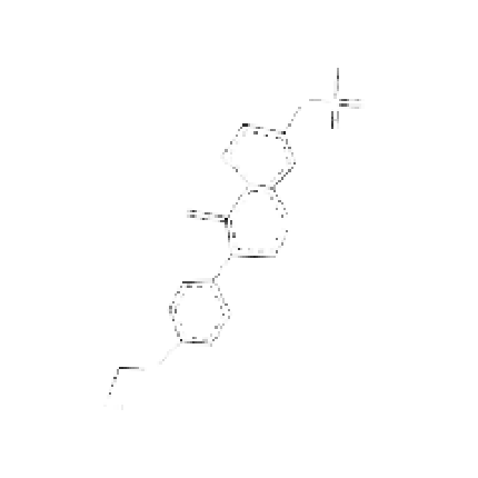 CC(C)(C)COc1ccc(-c2coc3cc(OS(C)(=O)=O)ccc3c2=O)cc1